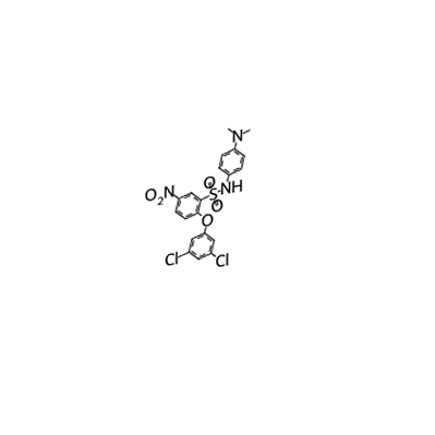 CN(C)c1ccc(NS(=O)(=O)c2cc([N+](=O)[O-])ccc2Oc2cc(Cl)cc(Cl)c2)cc1